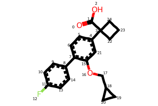 O=C(O)C1(c2ccc(-c3ccc(F)cc3)c(OCC3CC3)c2)CCC1